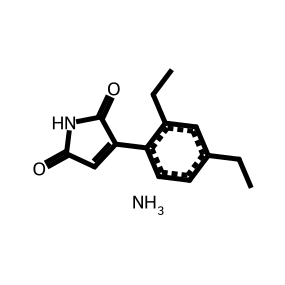 CCc1ccc(C2=CC(=O)NC2=O)c(CC)c1.N